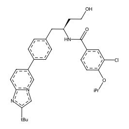 CC(C)Oc1ccc(C(=O)N[C@H](CCO)Cc2ccc(-c3ccc4nc(C(C)(C)C)cn4c3)cc2)cc1Cl